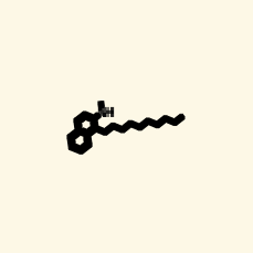 CCCCCCCCCCc1c(NC)ccc2ccccc12